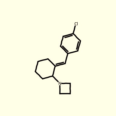 Clc1ccc(C=C2CCCCC2N2CCC2)cc1